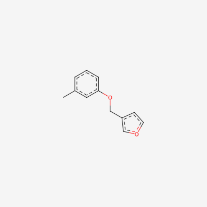 Cc1cccc(OCc2ccoc2)c1